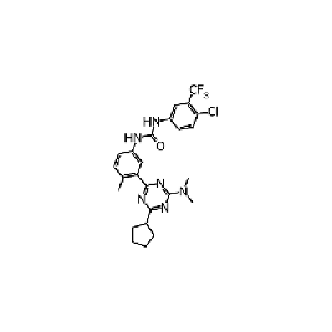 Cc1ccc(NC(=O)Nc2ccc(Cl)c(C(F)(F)F)c2)cc1-c1nc(C2CCCC2)nc(N(C)C)n1